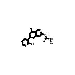 CCNC(=O)Nc1cc2cc(-c3cccnc3Cl)cc(C)c2cn1